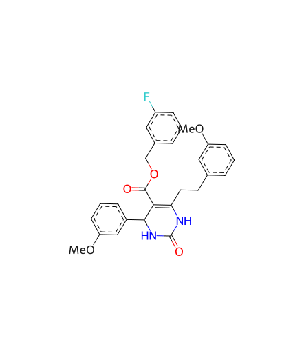 COc1cccc(CCC2=C(C(=O)OCc3cccc(F)c3)C(c3cccc(OC)c3)NC(=O)N2)c1